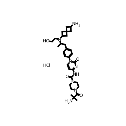 CC(Cc1ccc(-n2ccc(NC(=O)N3CCN(C(=O)C(C)(C)N)CC3)nc2=O)cc1)N(CCO)C1CC2(CC(N)C2)C1.Cl